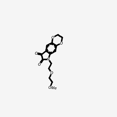 COCCOCCN1C(=O)C(=O)c2cc3c(cc21)OCCO3